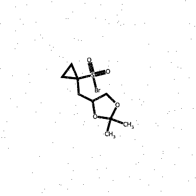 CC1(C)OCC(CC2(S(=O)(=O)Br)CC2)O1